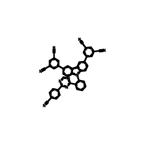 N#Cc1ccc(-c2ncnc(-c3ccccc3-n3c4ccc(-c5cc(C#N)cc(C#N)c5)cc4c4cc(-c5cc(C#N)cc(C#N)c5)ccc43)n2)cc1